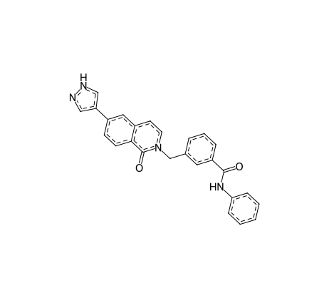 O=C(Nc1ccccc1)c1cccc(Cn2ccc3cc(-c4cn[nH]c4)ccc3c2=O)c1